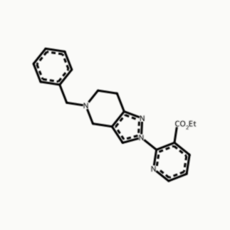 CCOC(=O)c1cccnc1-n1cc2c(n1)CCN(Cc1ccccc1)C2